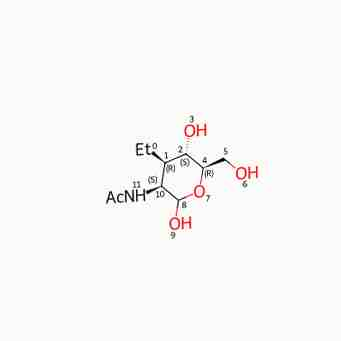 CC[C@H]1[C@H](O)[C@@H](CO)OC(O)[C@H]1NC(C)=O